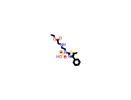 CCOC(=O)CNCCN(c1nc(-c2ccccc2)c(C)s1)S(=O)(=O)O